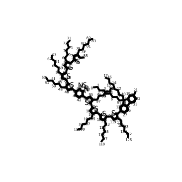 CCCCCCCCCC1(CCCCCCCC)c2cc(C)ccc2-c2ccc(-c3sc(-c4sc(-c5sc(-c6sc(-c7ccc(-c8cc(CCCCCC)c(-c9cc(CCCCCC)c(-c%10cc(CCCCCC)c(-c%11cc(CCCCCC)c(C)s%11)s%10)s9)s8)c8nsnc78)cc6CCCCCC)cc5CCCCCC)cc4CCCCCC)cc3CCCCCC)cc21